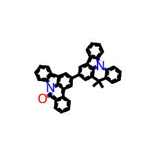 CC1(C)c2ccccc2-n2c3ccccc3c3cc(-c4cc5c6ccccc6c(=O)n6c7ccccc7c(c4)c56)cc1c32